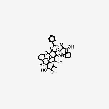 CC1CCCC(OC2OC(CO)C(O)C(O[C@@H](CC3CCCCC3)C(=O)NO)C2OC(=O)c2ccccc2)C1OC1OC(C)C(O)C(O)C1O